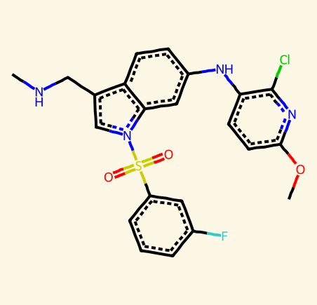 CNCc1cn(S(=O)(=O)c2cccc(F)c2)c2cc(Nc3ccc(OC)nc3Cl)ccc12